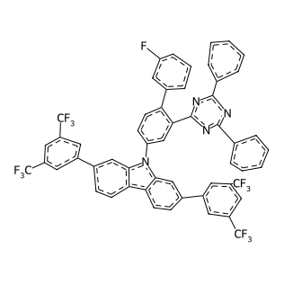 Fc1cccc(-c2ccc(-n3c4cc(-c5cc(C(F)(F)F)cc(C(F)(F)F)c5)ccc4c4ccc(-c5cc(C(F)(F)F)cc(C(F)(F)F)c5)cc43)cc2-c2nc(-c3ccccc3)nc(-c3ccccc3)n2)c1